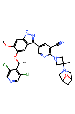 COc1cc2[nH]nc(-c3cnc(N4CC(C)(N5CC6CC(C5)O6)C4)c(C#N)c3)c2cc1O[C@H](C)c1c(Cl)cncc1Cl